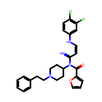 N=C(/C=C\Nc1ccc(Cl)c(Cl)c1)N(C(=O)c1ccco1)C1CCN(CCc2ccccc2)CC1